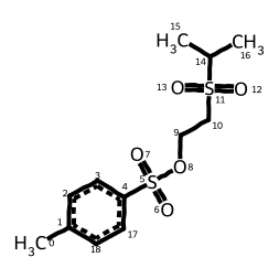 Cc1ccc(S(=O)(=O)OCCS(=O)(=O)C(C)C)cc1